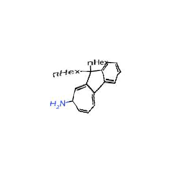 CCCCCCC1(CCCCCC)C2=CC(N)C=CC=C2c2ccccc21